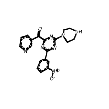 O=C(c1cccnc1)c1nc(-c2cccc([N+](=O)[O-])c2)nc(N2CCNCC2)n1